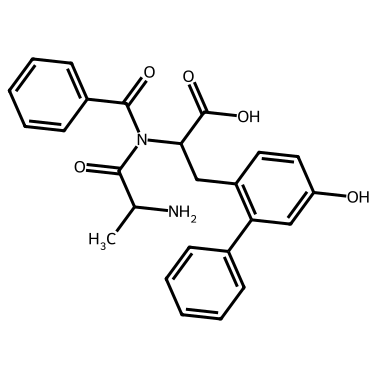 CC(N)C(=O)N(C(=O)c1ccccc1)C(Cc1ccc(O)cc1-c1ccccc1)C(=O)O